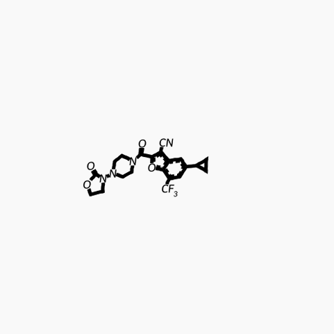 N#Cc1c(C(=O)N2CCN(N3CCOC3=O)CC2)oc2c(C(F)(F)F)cc(C3CC3)cc12